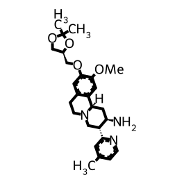 COc1cc2c(cc1OC[C@H]1COC(C)(C)O1)CCN1C[C@@H](c3cc(C)ccn3)[C@H](N)C[C@H]21